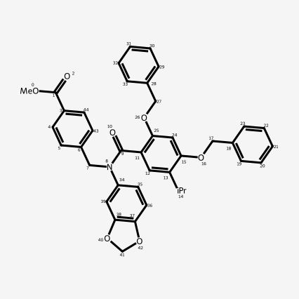 COC(=O)c1ccc(CN(C(=O)c2cc(C(C)C)c(OCc3ccccc3)cc2OCc2ccccc2)c2ccc3c(c2)OCO3)cc1